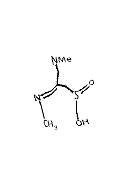 C/N=C(/NC)S(=O)O